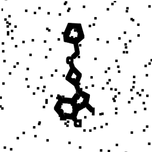 Clc1ncnc2c1c(I)cn2C1CC(OCc2ccccc2)C1